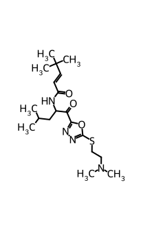 CC(C)CC(NC(=O)C=CC(C)(C)C)C(=O)c1nnc(SCCN(C)C)o1